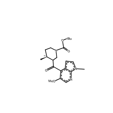 COc1cnc2c(ccn2C)c1C(=O)C1CN(C(=O)OC(C)(C)C)CC[C@@H]1C